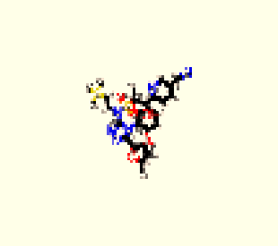 COc1cccc(OC)c1-n1c(-c2ccc(C)o2)nnc1N(CCS(C)(C)C)S(=O)(=O)[C@@H](C)[C@@H](O)c1ccc(C#N)cn1